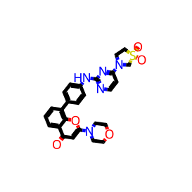 O=c1cc(N2CCOCC2)oc2c(-c3ccc(Nc4nccc(N5CCS(=O)(=O)C5)n4)cc3)cccc12